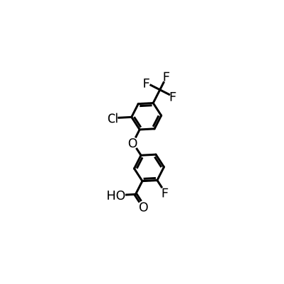 O=C(O)c1cc(Oc2ccc(C(F)(F)F)cc2Cl)ccc1F